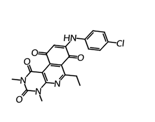 CCc1nc2c(c3c1C(=O)C(Nc1ccc(Cl)cc1)=CC3=O)c(=O)n(C)c(=O)n2C